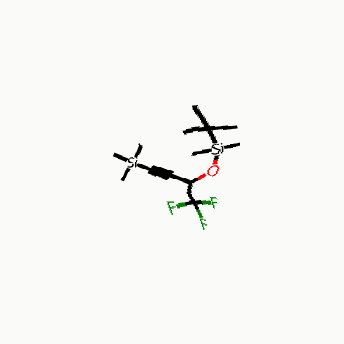 CC(C)(C)[Si](C)(C)OC(C#C[Si](C)(C)C)C(F)(F)F